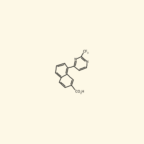 O=C(O)c1ccc2cccc(-c3ccnc(C(F)(F)F)n3)c2c1